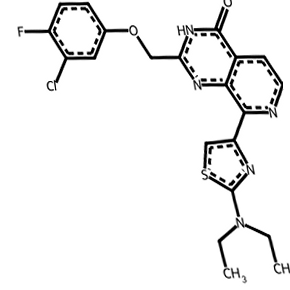 CCN(CC)c1nc(-c2nccc3c(=O)[nH]c(COc4ccc(F)c(Cl)c4)nc23)cs1